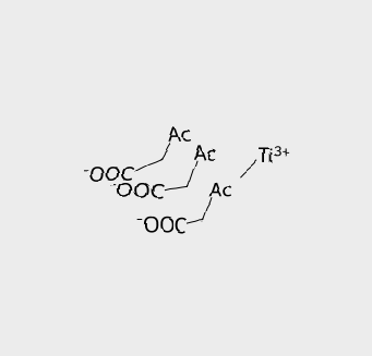 CC(=O)CC(=O)[O-].CC(=O)CC(=O)[O-].CC(=O)CC(=O)[O-].[CH3][Ti+3]